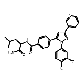 CC(C)CC(NC(=O)c1ccc(-c2cc(-c3cccnc3)nn2-c2ccc(Cl)c(Cl)c2)cc1)C(N)=O